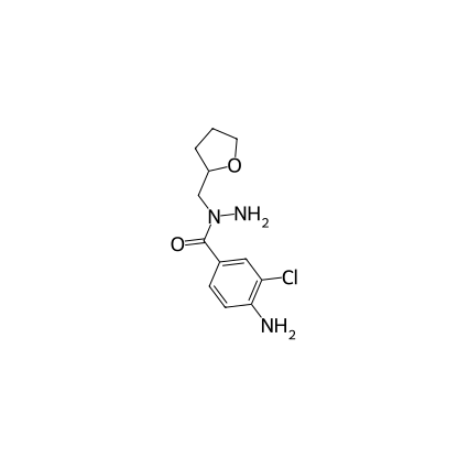 Nc1ccc(C(=O)N(N)CC2CCCO2)cc1Cl